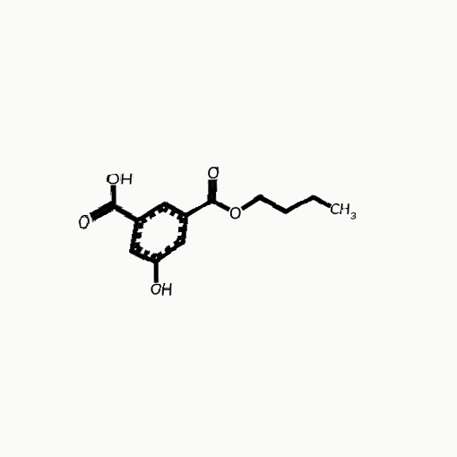 CCCCOC(=O)c1cc(O)cc(C(=O)O)c1